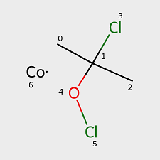 CC(C)(Cl)OCl.[Co]